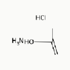 C=C(C)O.Cl.N